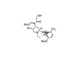 CC[C@@H]1CN2CC[C@@]34OCCO[C@@]3(Nc3c(C)ccc(OC)c34)[C@@H]2C[C@@H]1/C(=C\OC)C(=O)CO